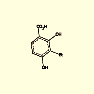 CCc1c(O)ccc(C(=O)O)c1O